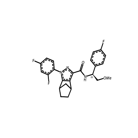 COC[C@@H](NC(=O)c1nn(-c2ccc(F)cc2F)c2c1C1CCC2C1)c1ccc(F)cc1